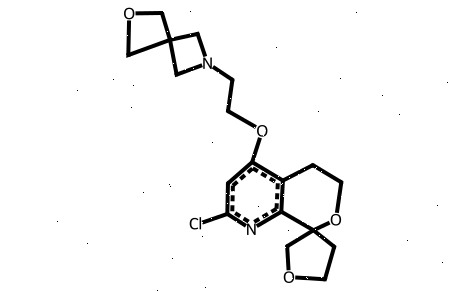 Clc1cc(OCCN2CC3(COC3)C2)c2c(n1)C1(CCOC1)OCC2